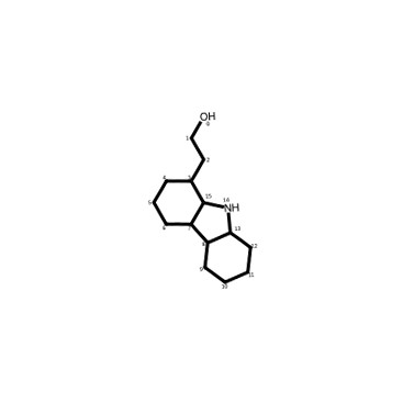 OCCC1CCCC2C3CCCCC3NC12